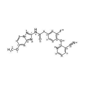 COc1ccn2nc(NC(=O)Cc3ccc(Oc4ncccc4C#N)c(F)c3)nc2c1